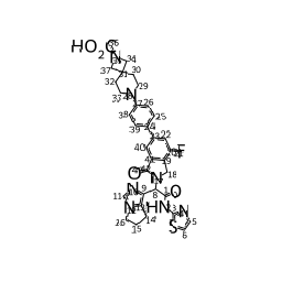 O=C(Nc1nccs1)C(c1ncn2c1CCC2)N1Cc2c(F)cc(-c3ccc(N4CCC5(CC4)CN(C(=O)O)C5)cc3)cc2C1=O